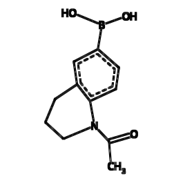 CC(=O)N1CCCc2cc(B(O)O)ccc21